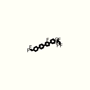 FC(F)=CC1CCC(c2ccc(-c3ccc(-c4ccc(OC(F)(F)C=C(F)F)cc4)c(F)c3)cc2)CC1